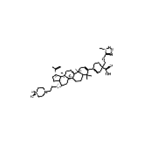 C=C(C)[C@@H]1CC[C@]2(NCCN3CCS(=O)(=O)CC3)CC[C@]3(C)[C@H](CCC4[C@@]5(C)CC=C(C6=CCC(COc7nnnn7C)(C(=O)O)CC6)C(C)(C)C5CC[C@]43C)C12